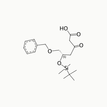 CC(C)(C)[Si](C)(C)O[C@H](COCc1ccccc1)CC(=O)CC(=O)O